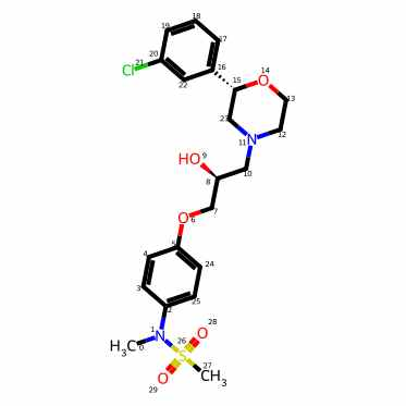 CN(c1ccc(OC[C@@H](O)CN2CCO[C@@H](c3cccc(Cl)c3)C2)cc1)S(C)(=O)=O